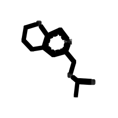 CC(=O)OCc1cc2c(cn1)OCCC2